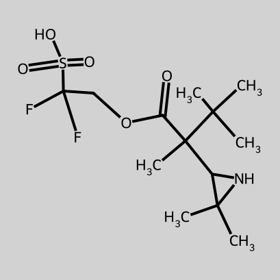 CC1(C)NC1C(C)(C(=O)OCC(F)(F)S(=O)(=O)O)C(C)(C)C